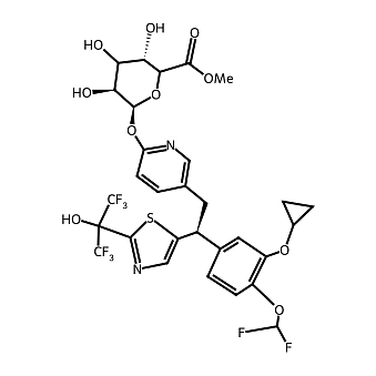 COC(=O)C1O[C@@H](Oc2ccc(C[C@@H](c3ccc(OC(F)F)c(OC4CC4)c3)c3cnc(C(O)(C(F)(F)F)C(F)(F)F)s3)cn2)[C@@H](O)C(O)[C@@H]1O